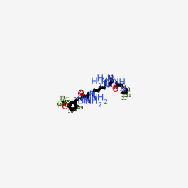 N/C(=C\N(N)CCCCN(N)/C=C(\N)NC(=O)CN1CC(F)(F)C1)C(=O)NCc1cc(OC(F)(F)F)ccc1F